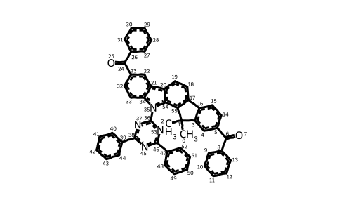 CC1(C)c2cc(C(=O)c3ccccc3)ccc2-c2ccc3c4cc(C(=O)c5ccccc5)ccc4n(-c4nc(-c5ccccc5)nc(-c5ccccc5)n4)c3c21